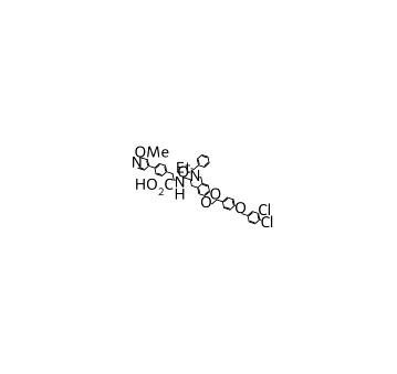 CCC(c1ccccc1)N1Cc2cc3c(cc2CC1C(=O)NC(Cc1ccc(-c2ccnc(OC)c2)cc1)C(=O)O)OCC(c1ccc(OCc2ccc(Cl)c(Cl)c2)cc1)O3